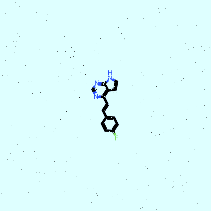 Fc1ccc(/C=C/c2ncnc3[nH]ccc23)cc1